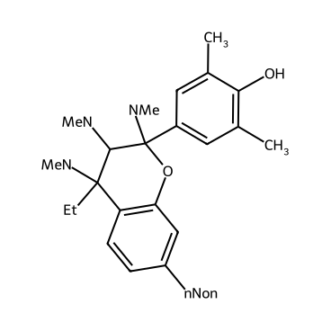 CCCCCCCCCc1ccc2c(c1)OC(NC)(c1cc(C)c(O)c(C)c1)C(NC)C2(CC)NC